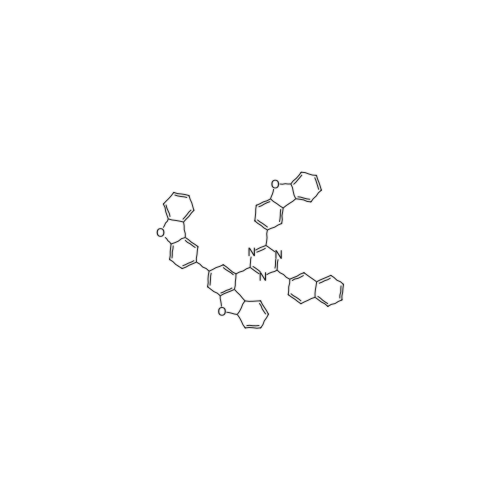 C1=CC2Oc3cc(-c4ccc5oc6ccccc6c5c4)cc(-c4nc(-c5ccc6ccccc6c5)nc(-c5ccc6oc7ccccc7c6c5)n4)c3C2C=C1